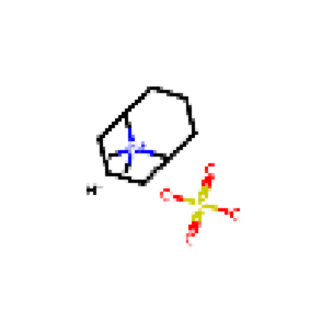 C[N+]1(C)C2CCCC1CCC2.O=S(=O)([O-])[O-].[H+]